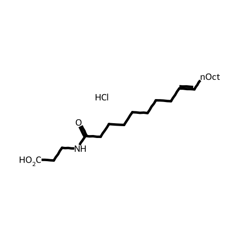 CCCCCCCCC=CCCCCCCCC(=O)NCCC(=O)O.Cl